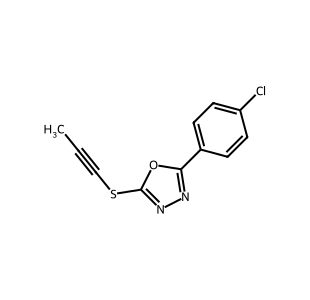 CC#CSc1nnc(-c2ccc(Cl)cc2)o1